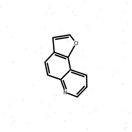 c1cnc2ccc3ccoc3c2c1